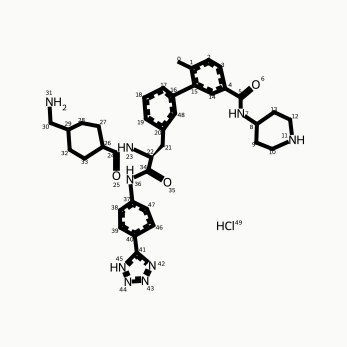 Cc1ccc(C(=O)NC2CCNCC2)cc1-c1cccc(C[C@H](NC(=O)C2CCC(CN)CC2)C(=O)Nc2ccc(-c3nnn[nH]3)cc2)c1.Cl